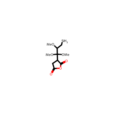 COC(C[SiH3])C(OC)(OC)C1CC(=O)OC1=O